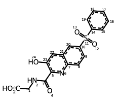 O=C(O)CNC(=O)c1nc2ccc(S(=O)(=O)c3ccccc3)cc2cc1O